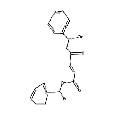 O=C(C=CC(=O)OC(Br)c1ccccc1)OC(Br)c1ccccc1